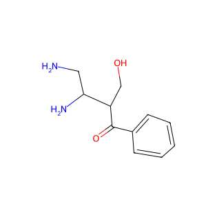 NCC(N)C(CO)C(=O)c1ccccc1